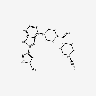 Cn1cc(-c2cc3c(N4CCN(C(=O)[C@H]5CC[C@H](C#N)CC5)CC4)ccnc3[nH]2)cn1